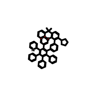 CC1(C)c2ccccc2Oc2c1ccc(C1CCCC1)c2-c1cccc(-c2c(-c3ccccc3)c(-c3ccccc3)c(-c3ccccc3)c(-c3ccccn3)c2-c2ccccc2)c1